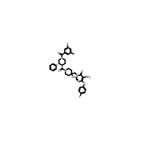 Nc1c(Oc2ccc(F)cc2)ncn(CC2(O)CCN(C(=O)[C@@H]3CCN(C(=O)c4cc(F)cc(F)c4)C[C@H]3c3ccccc3)CC2)c1=O